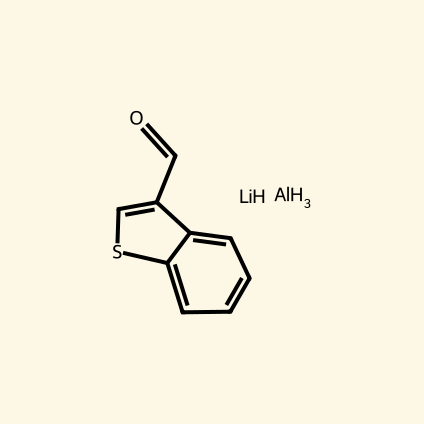 O=Cc1csc2ccccc12.[AlH3].[LiH]